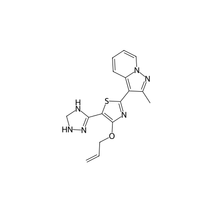 C=CCOc1nc(-c2c(C)nn3ccccc23)sc1C1=NNCN1